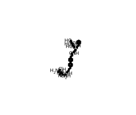 N=C(NCCCCc1ccc(-c2ccc(CCC(=O)NCCN(CCCc3ccccc3)C[C@H](O)[C@@H](O)[C@H](O)[C@H](O)CO)cc2)cc1)NC(=O)c1nc(Cl)c(N)nc1N